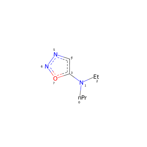 CCCN(CC)c1[c]nno1